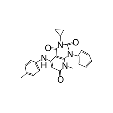 Cc1ccc(Nc2cc(=O)n(C)c3c2c(=O)n(C2CC2)c(=O)n3-c2ccccc2)cc1